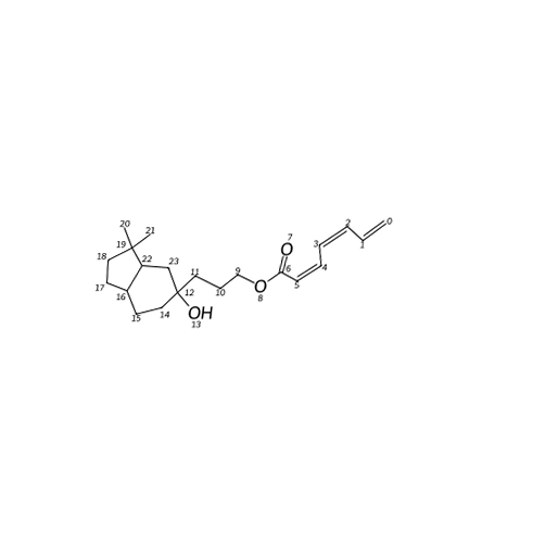 C=C/C=C\C=C/C(=O)OCCCC1(O)CCC2CCC(C)(C)C2C1